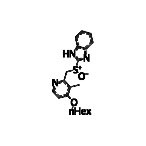 CCCCCCOc1ccnc(C[S+]([O-])c2nc3ccccc3[nH]2)c1C